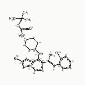 CC(C)(C)OC(=O)N[C@H]1CC[C@H](Nc2c(/C(N)=N/c3ccccc3Cl)cnn3cc(Br)cc23)CC1